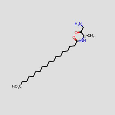 C[C@H](NC(=O)CCCCCCCCCCCCCCCCC(=O)O)C(=O)CN